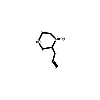 C=CCC1CNCCN1O